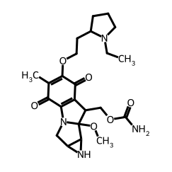 CCN1CCCC1CCOC1=C(C)C(=O)C2=C(C1=O)C(COC(N)=O)C1(OC)C3NC3CN21